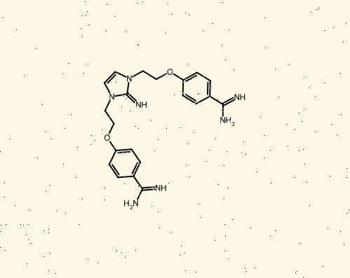 N=C(N)c1ccc(OCCn2ccn(CCOc3ccc(C(=N)N)cc3)c2=N)cc1